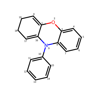 C1=C2Oc3ccccc3N(c3ccccc3)C2=CCC1